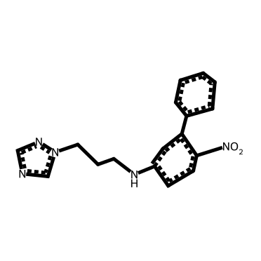 O=[N+]([O-])c1ccc(NCCCn2cncn2)cc1-c1ccccc1